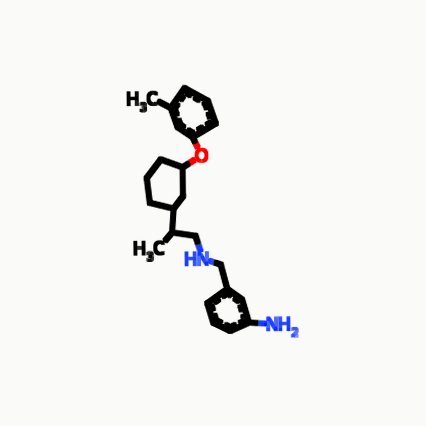 Cc1cccc(OC2CCCC(C(C)CNCc3cccc(N)c3)C2)c1